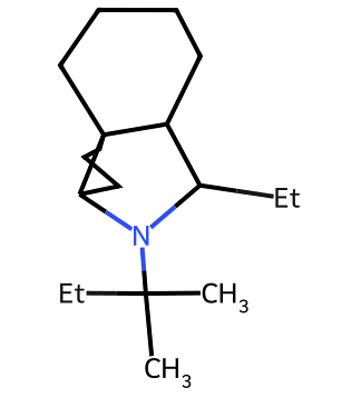 CCC1C2CCCCC23CCCC3N1C(C)(C)CC